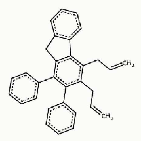 C=CCc1c(CC=C)c(-c2ccccc2)c(-c2ccccc2)c2c1-c1ccccc1C2